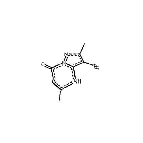 Cc1cc(=O)n2nc(C)c(Br)c2[nH]1